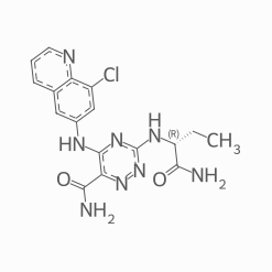 CC[C@@H](Nc1nnc(C(N)=O)c(Nc2cc(Cl)c3ncccc3c2)n1)C(N)=O